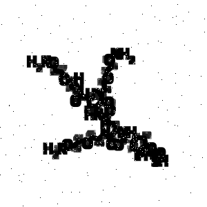 CC(C)P(=O)(S)O[C@H]1CC[C@H](C(=O)NC(CCC(=O)NC(CCC(=O)NCCOCCON)C(=O)NCCOCCON)C(=O)NCCOCCON)CC1